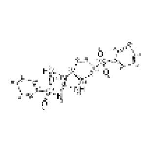 Cn1c(=NS(=O)(=O)c2ccccc2)[nH]c2cc(S(=O)(=O)c3ccccc3)ccc21